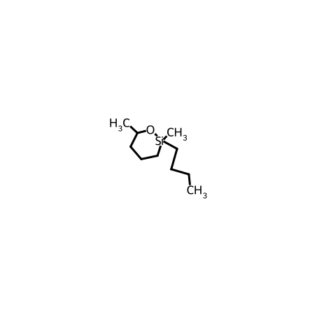 CCCC[Si]1(C)CCCC(C)O1